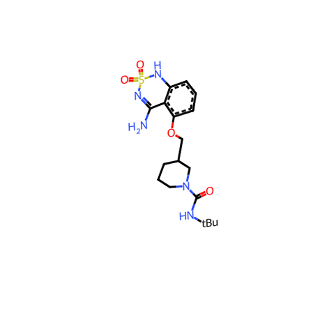 CC(C)(C)NC(=O)N1CCCC(COc2cccc3c2C(N)=NS(=O)(=O)N3)C1